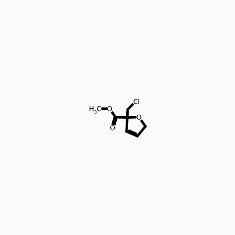 COC(=O)C1(CCl)C=CCO1